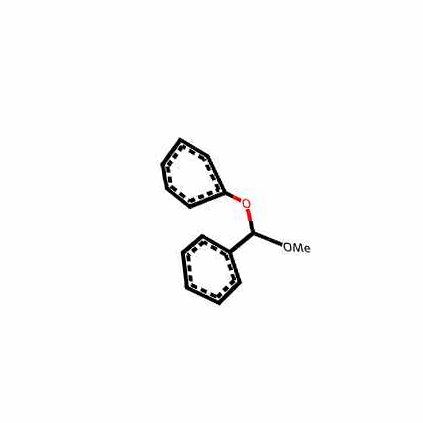 [C]OC(Oc1ccccc1)c1ccccc1